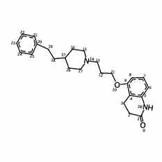 O=C1CCc2c(cccc2OCCCN2CCC(CCc3ccccc3)CC2)N1